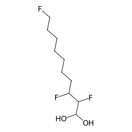 OC(O)C(F)C(F)CCCCCCCF